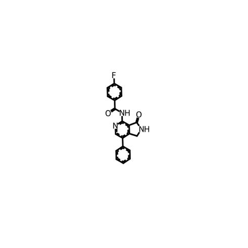 O=C(Nc1ncc(-c2ccccc2)c2c1C(=O)NC2)c1ccc(F)cc1